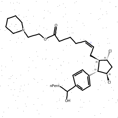 CCCCCC(O)c1ccc([C@@H]2[C@@H](C/C=C\CCCC(=O)OCCN3CCCCC3)[C@H](Cl)C[C@H]2Cl)cc1